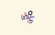 O=C(Nc1ccccc1NC(=O)C1=NCCO1)C1=NCCO1